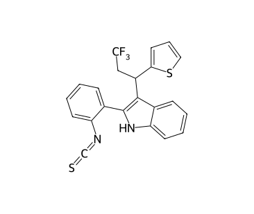 FC(F)(F)CC(c1cccs1)c1c(-c2ccccc2N=C=S)[nH]c2ccccc12